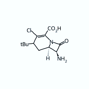 CC(C)(C)C1C[C@@H]2[C@H](N)C(=O)N2C(C(=O)O)=C1Cl